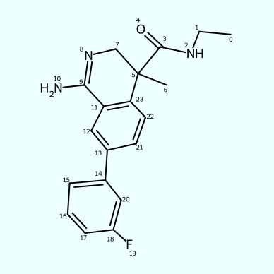 CCNC(=O)C1(C)CN=C(N)c2cc(-c3cccc(F)c3)ccc21